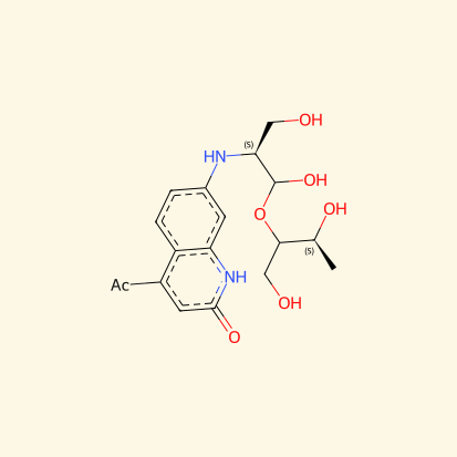 CC(=O)c1cc(=O)[nH]c2cc(N[C@@H](CO)C(O)OC(CO)[C@H](C)O)ccc12